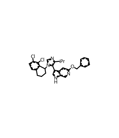 CC(C)c1ncn(C2CCCc3ccc(Cl)c(Cl)c32)c1-c1c[nH]c2cnc(OCc3ccccc3)cc12